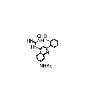 CC(=O)Nc1ccc2c(NC(=N)NC=O)cc(-c3ccccc3C)nc2c1